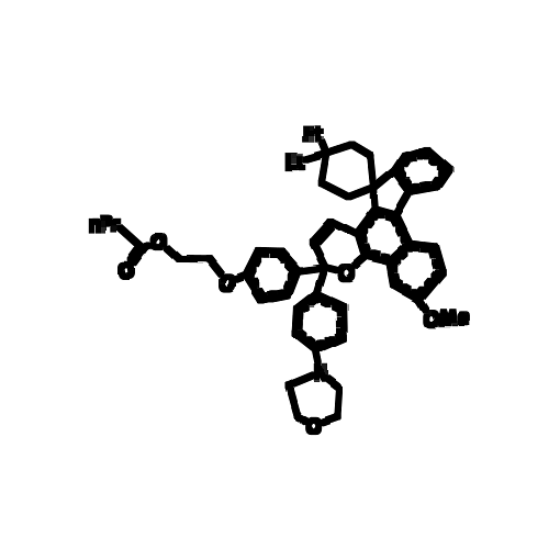 CCCC(=O)OCCOc1ccc(C2(c3ccc(N4CCOCC4)cc3)C=Cc3c4c(c5ccc(OC)cc5c3O2)-c2ccccc2C42CCC(CC)(CC)CC2)cc1